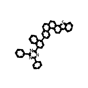 c1ccc(-c2nc(-c3ccccc3)nc(-c3ccc(-c4ccc5c(ccc6ccc7c(ccc8c9ccccc9sc87)c65)c4)c4ccccc34)n2)cc1